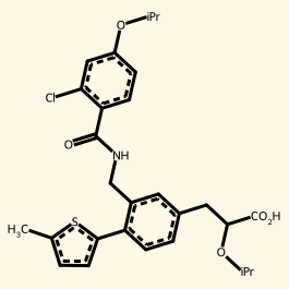 Cc1ccc(-c2ccc(CC(OC(C)C)C(=O)O)cc2CNC(=O)c2ccc(OC(C)C)cc2Cl)s1